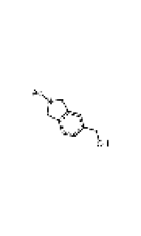 CC(=O)N1Cc2ccc(CO)cc2C1